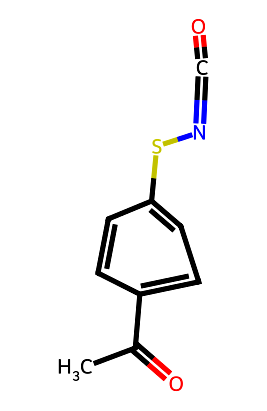 CC(=O)c1ccc(SN=C=O)cc1